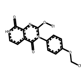 CCOc1nc2c(=O)[nH]ccc2c(=O)n1-c1ccc(OCC(F)(F)F)cc1